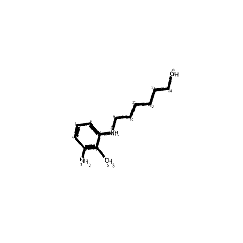 Cc1c(N)cccc1NCCCCCCO